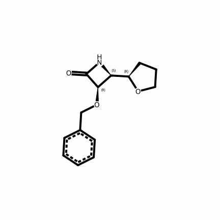 O=C1N[C@@H]([C@H]2CCCO2)[C@H]1OCc1ccccc1